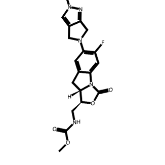 COC(=O)NC[C@@H]1OC(=O)N2c3cc(F)c(N4Cc5cn(C)nc5C4)cc3C[C@@H]12